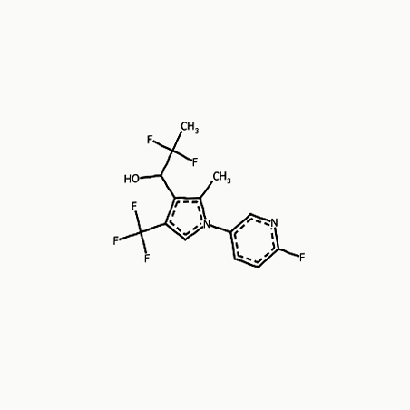 Cc1c(C(O)C(C)(F)F)c(C(F)(F)F)cn1-c1ccc(F)nc1